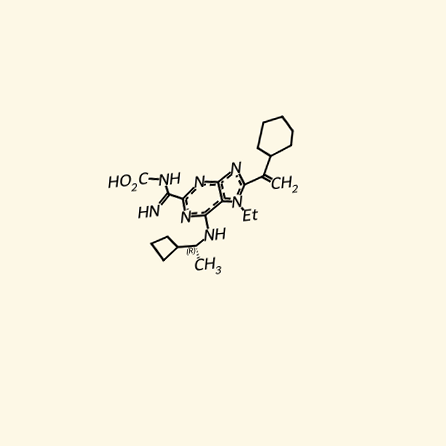 C=C(c1nc2nc(C(=N)NC(=O)O)nc(N[C@H](C)C3CCC3)c2n1CC)C1CCCCC1